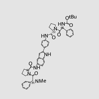 CN[C@@H](C(=O)N1CCC[C@H]1C(=O)Nc1ccc2[nH]c(-c3ccc(NC(=O)[C@@H]4CCCN4C(=O)[C@H](NC(=O)OC(C)(C)C)c4ccccc4)cc3)cc2c1)c1ccccc1